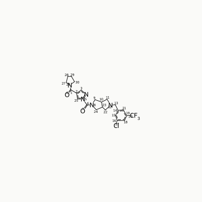 O=C(c1cnn(C(=O)N2CC3CN(Cc4cc(Cl)cc(C(F)(F)F)c4)CC3C2)c1)N1CCCC1